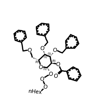 CCCCCCOOO[C@@H]1O[C@H](COCc2ccccc2)[C@H](OCc2ccccc2)[C@H](OCc2ccccc2)[C@H]1OC(=O)c1ccccc1